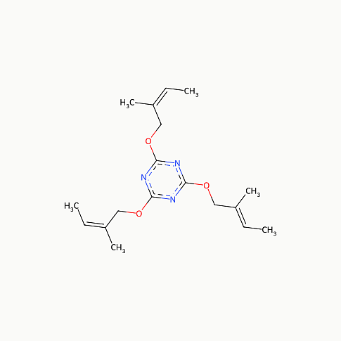 C/C=C(/C)COc1nc(OC/C(C)=C\C)nc(OC/C(C)=C/C)n1